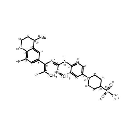 C=N/C(=N\C(=C(/C)F)c1cc(F)c2c(c1)N(C(C)CC)CCO2)Nc1ccc(N2CCC(S(C)(=O)=O)CC2)cn1